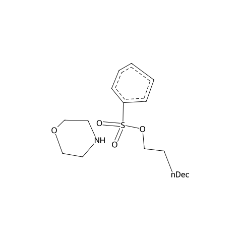 C1COCCN1.CCCCCCCCCCCCOS(=O)(=O)c1ccccc1